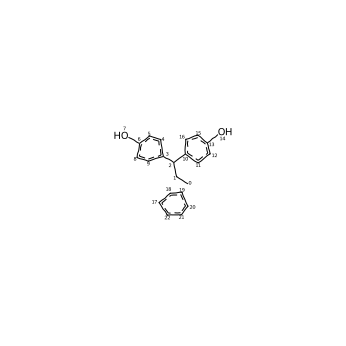 CCC(c1ccc(O)cc1)c1ccc(O)cc1.c1ccccc1